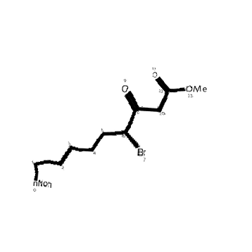 CCCCCCCCCCCCCCC(Br)C(=O)CC(=O)OC